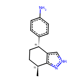 C[C@H]1CC[C@H](c2ccc(N)cc2)c2c[nH]nc21